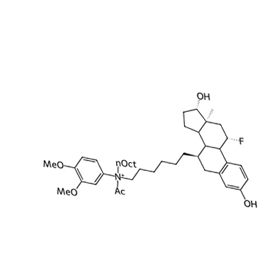 CCCCCCCC[N+](CCCCCC[C@@H]1Cc2cc(O)ccc2C2C1C1CC[C@H](O)[C@@]1(C)C[C@@H]2F)(C(C)=O)c1ccc(OC)c(OC)c1